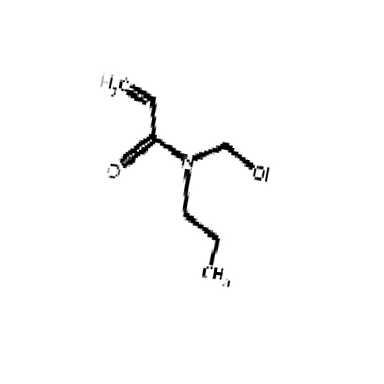 C=CC(=O)N(CO)CCC